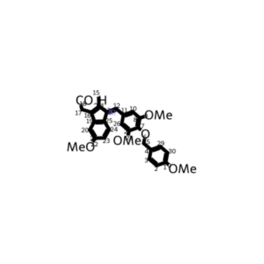 COc1ccc(COc2c(OC)cc(/C=C3/C(C)=C(CC(=O)O)c4cc(OC)ccc43)cc2OC)cc1